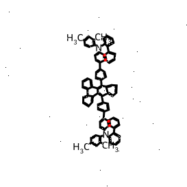 Cc1ccc(N(c2ccc(-c3ccc(-c4c5ccccc5c(-c5ccc(-c6ccc(N(c7ccc(C)cc7C)c7ccccc7-c7ccccc7)cc6)cc5)c5c6ccccc6c6ccccc6c45)cc3)cc2)c2ccccc2-c2ccccc2)c(C)c1